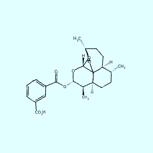 C[C@H]1[C@H](OC(=O)c2cccc(C(=O)O)c2)O[C@@H]2O[C@]3(C)CC[C@H]4[C@H](C)CC[C@@H]1C24OO3